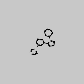 c1ccc(-n2cccc2-c2cccc(-n3ccnc3)c2)cc1